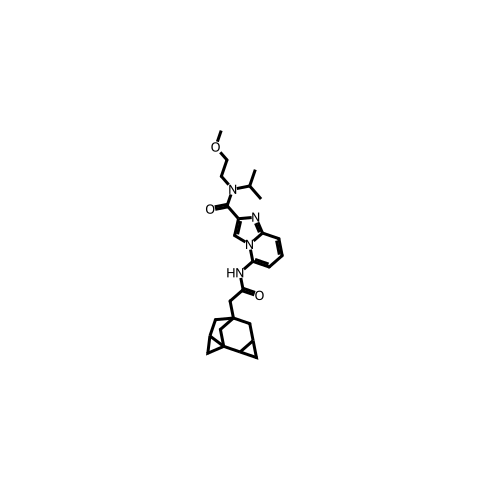 COCCN(C(=O)c1cn2c(NC(=O)CC34CC5CC5C5(CC5C3)C4)cccc2n1)C(C)C